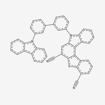 N#Cc1cccc2c1sc1c(C#N)cc3c(c4ccccc4n3-c3cccc(-c4cccc(-n5c6ccccc6c6ccccc65)c4)c3)c12